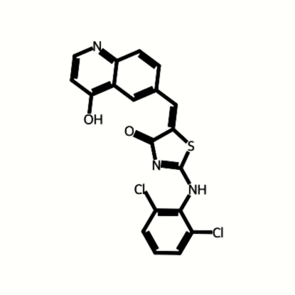 O=C1N=C(Nc2c(Cl)cccc2Cl)SC1=Cc1ccc2nccc(O)c2c1